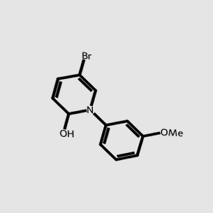 COc1cccc(N2C=C(Br)C=CC2O)c1